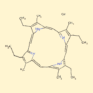 CCC1=C(C)c2cc3[nH]c(cc4nc(cc5[nH]c(cc1n2)c(CC)c5C)C(C)=C4CC)c(CC)c3C.[Cu]